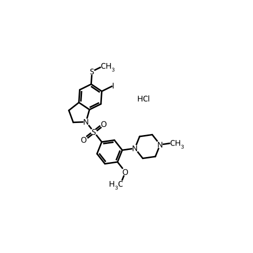 COc1ccc(S(=O)(=O)N2CCc3cc(SC)c(I)cc32)cc1N1CCN(C)CC1.Cl